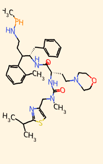 CPNCCC(c1ccccc1C)[C@H](Cc1ccccc1)NC(=O)[C@H](CCN1CCOCC1)NC(=O)N(C)Cc1csc(C(C)C)n1